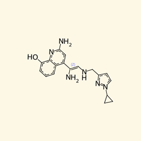 N/C(=C\NCc1ccn(C2CC2)n1)c1cc(N)nc2c(O)cccc12